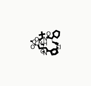 C#CC[C@H](C(=O)N[C@H](C(=O)N1C[C@@]2(CC(c3cccc(Cl)c3)=NO2)C[C@H]1C(=O)OC)C(C)(C)C)C1CCCCC1